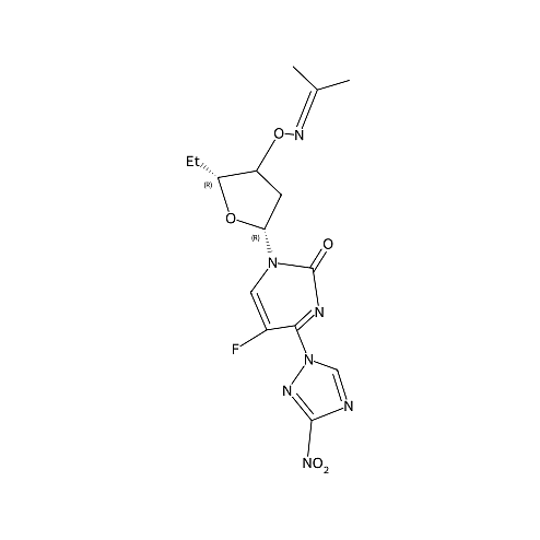 CC[C@H]1O[C@@H](n2cc(F)c(-n3cnc([N+](=O)[O-])n3)nc2=O)CC1ON=C(C)C